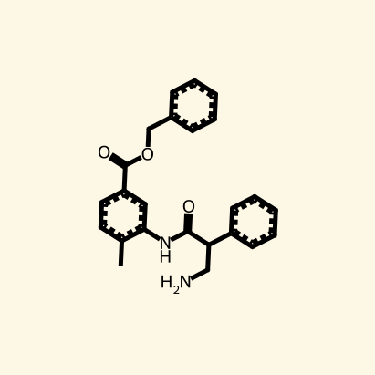 Cc1ccc(C(=O)OCc2ccccc2)cc1NC(=O)C(CN)c1ccccc1